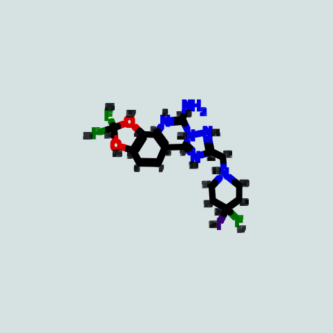 Nc1nc2c3c(ccc2c2nc(CN4CCC(F)(I)CC4)nn12)OC(F)(F)O3